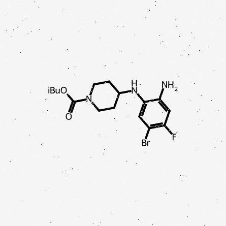 CC(C)COC(=O)N1CCC(Nc2cc(Br)c(F)cc2N)CC1